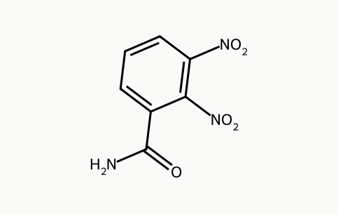 NC(=O)c1cccc([N+](=O)[O-])c1[N+](=O)[O-]